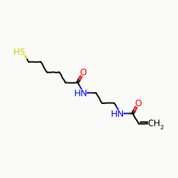 C=CC(=O)NCCCNC(=O)CCCCCS